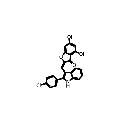 O=C1C(=Cc2c(-c3ccc(Cl)cc3)[nH]c3ccccc23)Oc2cc(O)cc(O)c21